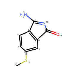 CSc1ccc2c(c1)C(=O)N=C2N